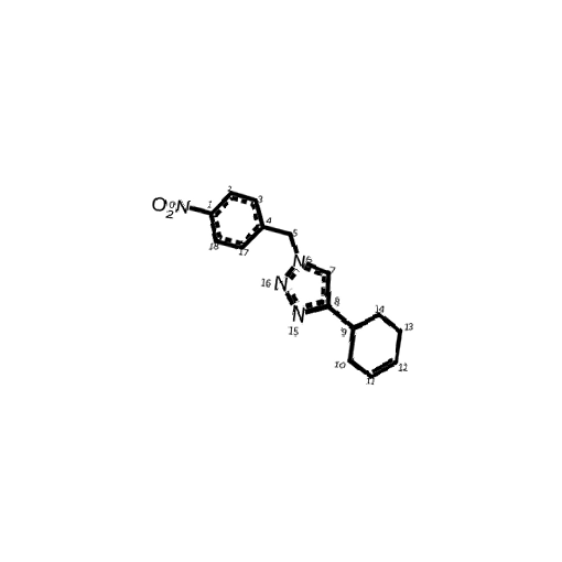 O=[N+]([O-])c1ccc(Cn2cc(C3CC=CCC3)nn2)cc1